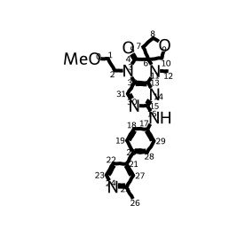 COCCN1C(=O)C2(CCOC2)N(C)c2nc(Nc3ccc(-c4ccnc(C)c4)cc3)ncc21